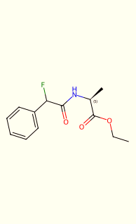 CCOC(=O)[C@H](C)NC(=O)C(F)c1ccccc1